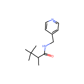 CC(C(=O)NCc1ccncc1)C(C)(C)C